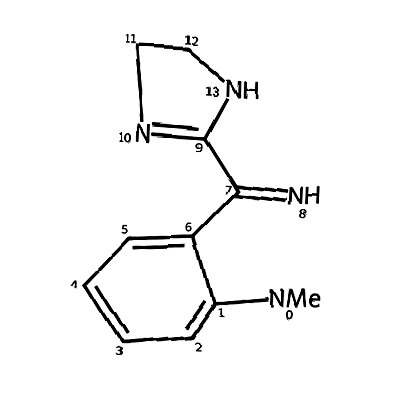 CNc1ccccc1C(=N)C1=NCCN1